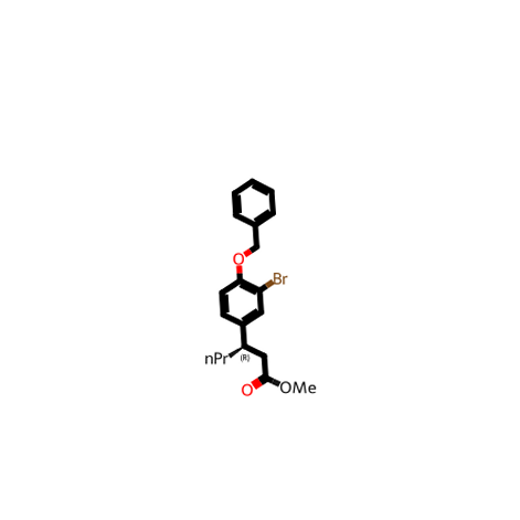 CCC[C@H](CC(=O)OC)c1ccc(OCc2ccccc2)c(Br)c1